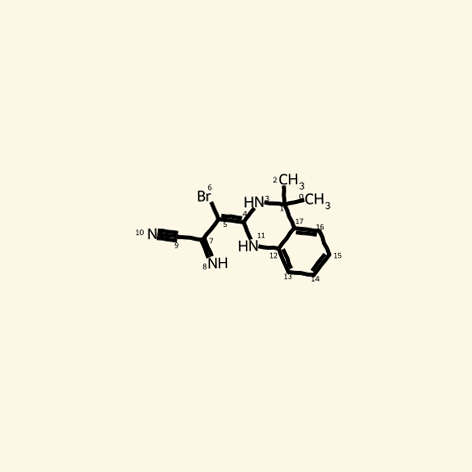 CC1(C)N/C(=C(\Br)C(=N)C#N)Nc2ccccc21